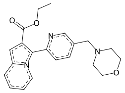 CCOC(=O)c1cc2ccccn2c1-c1ccc(CN2CCOCC2)cn1